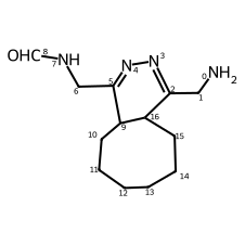 NCC1=NN=C(CNC=O)C2CCCCCCC12